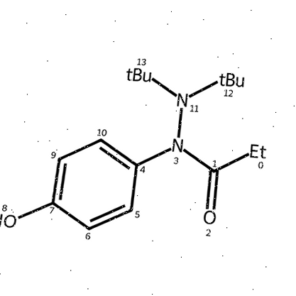 CCC(=O)N(c1ccc(O)cc1)N(C(C)(C)C)C(C)(C)C